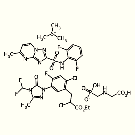 CCOC(=O)C(Cl)Cc1cc(-n2nc(C)n(C(F)F)c2=O)c(F)cc1Cl.C[S+](C)C.Cc1ccn2nc(S(=O)(=O)Nc3c(F)cccc3F)nc2n1.O=C(O)CNCP(=O)([O-])O